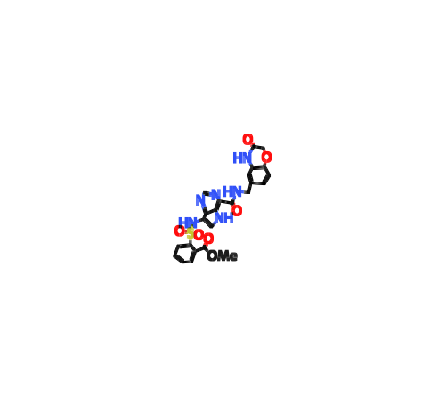 COC(=O)c1ccccc1S(=O)(=O)Nc1c[nH]c2c(C(=O)NCc3ccc4c(c3)NC(=O)CO4)ncnc12